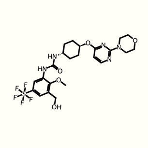 COc1c(CO)cc(S(F)(F)(F)(F)F)cc1NC(=O)N[C@H]1CC[C@H](Oc2ccnc(N3CCOCC3)n2)CC1